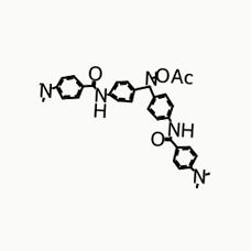 CC(=O)ON=C(c1ccc(NC(=O)c2ccc(N(C)C)cc2)cc1)c1ccc(NC(=O)c2ccc(N(C)C)cc2)cc1